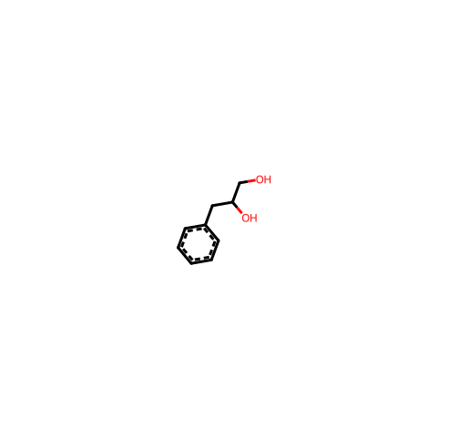 OCC(O)Cc1ccccc1